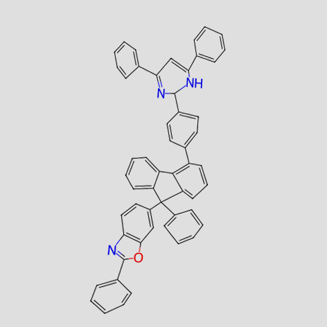 C1=C(c2ccccc2)NC(c2ccc(-c3cccc4c3-c3ccccc3C4(c3ccccc3)c3ccc4nc(-c5ccccc5)oc4c3)cc2)N=C1c1ccccc1